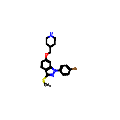 CSc1nn(-c2ccc(Br)cc2)c2cc(OCC3CCNCC3)ccc12